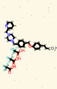 O=C(O)C(F)(F)F.O=C(O)C(F)(F)F.O=C(O)C(F)(F)F.O=C(O)CCc1ccc(OCc2ccc(CN3CCN(Cc4ccccn4)CC3)cc2)cc1